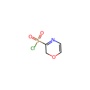 O=S(=O)(Cl)C1=NC=COC1